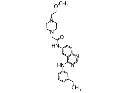 CCc1cccc(Nc2ncnc3ccc(NC(=O)CN4CCN(CCOC)CC4)cc23)c1